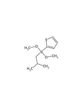 CO[Si](CC(C)C)(OC)c1cccs1